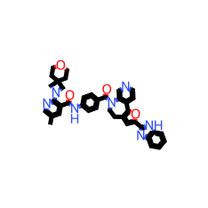 Cc1cnc(N2CC3(CCOCC3)C2)c(C(=O)Nc2ccc(C(=O)N3CCc4cc(-c5nc6ccccc6[nH]5)oc4-c4ccncc43)cc2)c1